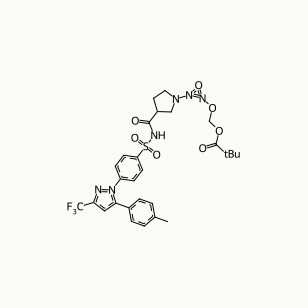 Cc1ccc(-c2cc(C(F)(F)F)nn2-c2ccc(S(=O)(=O)NC(=O)C3CCN(n4on4OCOC(=O)C(C)(C)C)C3)cc2)cc1